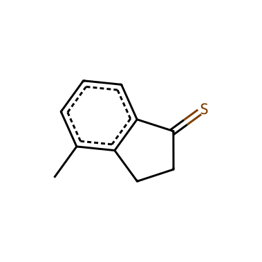 Cc1cccc2c1CCC2=S